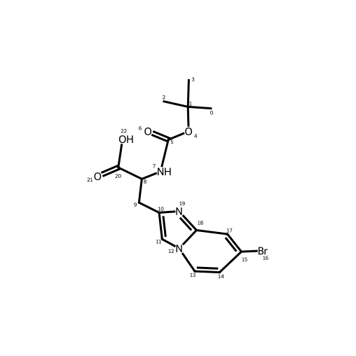 CC(C)(C)OC(=O)NC(Cc1cn2ccc(Br)cc2n1)C(=O)O